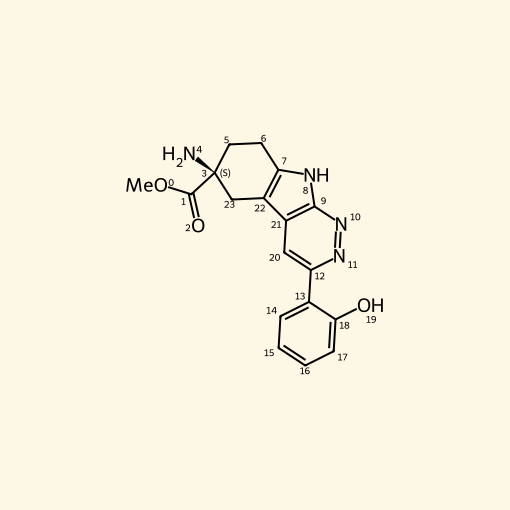 COC(=O)[C@]1(N)CCc2[nH]c3nnc(-c4ccccc4O)cc3c2C1